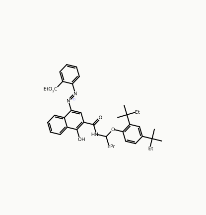 CCCC(NC(=O)c1cc(/N=N/c2ccccc2C(=O)OCC)c2ccccc2c1O)Oc1ccc(C(C)(C)CC)cc1C(C)(C)CC